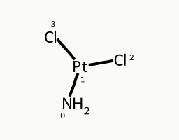 [NH2][Pt]([Cl])[Cl]